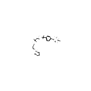 Cc1nnc(-c2ccc(C(C)(C)NCCC(C)(C)OCCC(=O)ON3C(=O)CCC3=O)cc2)nn1